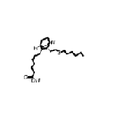 CCCCCCSCC[C@@H]1[C@@H](C/C=C\CCCC(=O)O)[C@H]2CC[C@@H]1O2